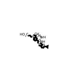 Br.CC1(C)CN(CCCC(=O)O)c2ccc(C(=O)CN3Cc4ccc(C5CC5)nc4C3=N)cc21